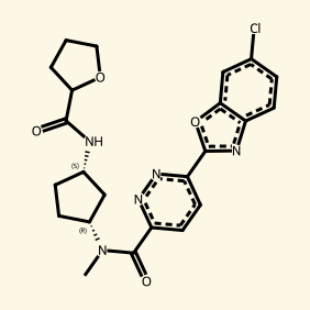 CN(C(=O)c1ccc(-c2nc3ccc(Cl)cc3o2)nn1)[C@@H]1CC[C@H](NC(=O)C2CCCO2)C1